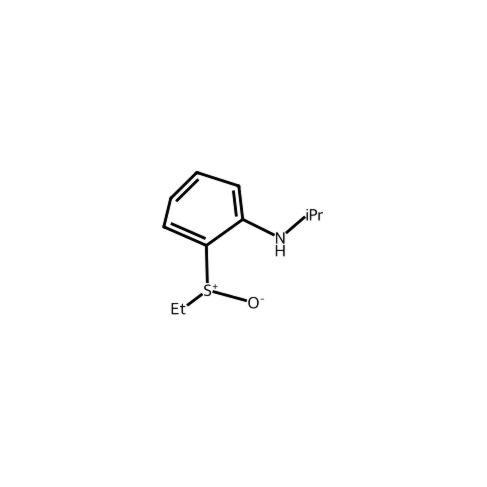 CC[S+]([O-])c1ccccc1NC(C)C